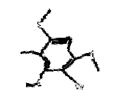 CSc1cc(SC)c(O)c(SC)c1C